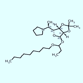 CCCCCCCCCOC(CC)O[C@H]1O[C@H]([C@H](C)N2CCCC2)[C@@H]2OC(C)(C)O[C@H]12